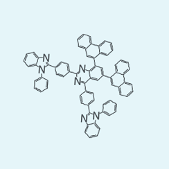 c1ccc(-n2c(-c3ccc(-c4nc(-c5ccc(-c6nc7ccccc7n6-c6ccccc6)cc5)c5cc(-c6cc7ccccc7c7ccccc67)cc(-c6cc7ccccc7c7ccccc67)c5n4)cc3)nc3ccccc32)cc1